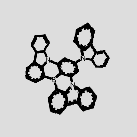 C1=CCC2C(=C1)c1ccccc1N2c1cc2c3c(c1)-n1c4ccccc4c4cccc(c41)B3c1cccc3c1N2C1C=CC=CC31